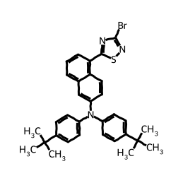 CC(C)(C)c1ccc(N(c2ccc(C(C)(C)C)cc2)c2ccc3c(-c4nc(Br)ns4)cccc3c2)cc1